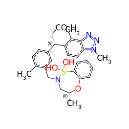 Cc1ccc([C@H](CC(=O)O)c2ccc3c(nnn3C)c2C)cc1CN1C[C@@H](C)Oc2ccccc2S1(O)O